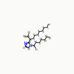 CCCCCCCCC(c1nccn1C(C)CCCCCC)C(C)C